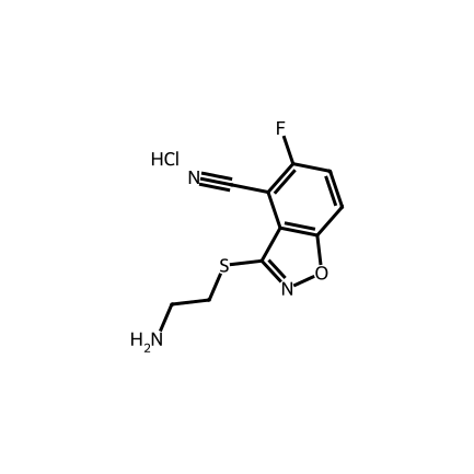 Cl.N#Cc1c(F)ccc2onc(SCCN)c12